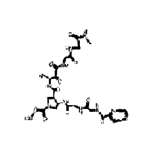 CCC[C@H](NC(=O)[C@@H]1CN(C(=O)OC(C)(C)C)C[C@@H]1NC(=O)CNC(=O)CNC(=O)c1cnccn1)C(=O)C(=O)NCC(=O)NCC(=O)N(C)C